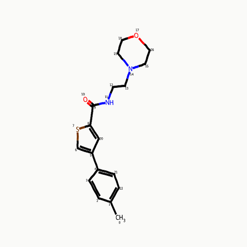 Cc1ccc(-c2csc(C(=O)NCCN3CCOCC3)c2)cc1